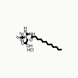 Cl.[2H]C([2H])([2H])N(CC(=O)O)C(=N)NC(=O)CCCCCCCCCCC